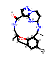 C[C@H]1NC2C=Cn3ncc(c3N2)C(=O)NCC2(C)Cc3cc(C#N)cc1c3O2